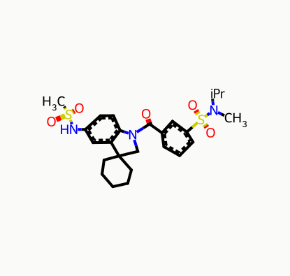 CC(C)N(C)S(=O)(=O)c1cccc(C(=O)N2CC3(CCCCC3)c3cc(NS(C)(=O)=O)ccc32)c1